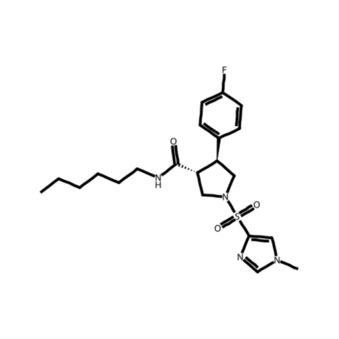 CCCCCCNC(=O)[C@H]1CN(S(=O)(=O)c2cn(C)cn2)C[C@@H]1c1ccc(F)cc1